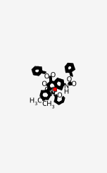 CC1(C)CCc2c(C(=O)C(C(=O)OCc3ccccc3)c3ccc(NC(=O)OCc4ccccc4)cc3[N+](=O)[O-])nn(C3CCCCO3)c2C1